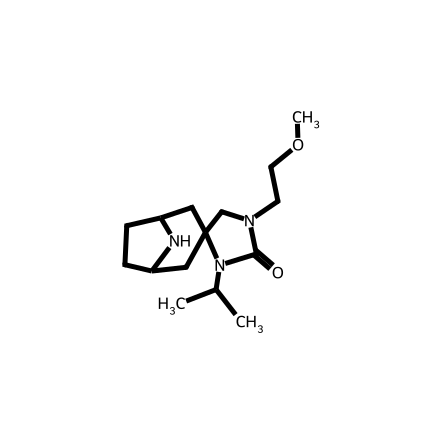 COCCN1CC2(CC3CCC(C2)N3)N(C(C)C)C1=O